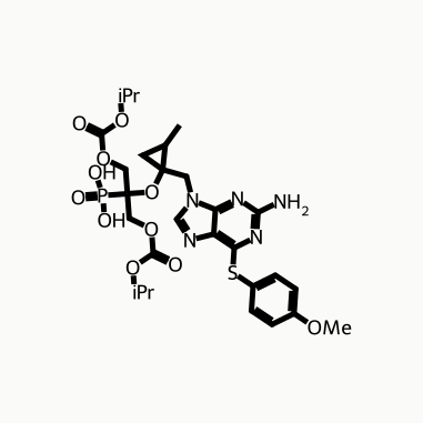 COc1ccc(Sc2nc(N)nc3c2ncn3CC2(OC(COC(=O)OC(C)C)(COC(=O)OC(C)C)P(=O)(O)O)CC2C)cc1